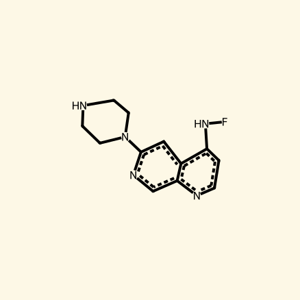 FNc1ccnc2cnc(N3CCNCC3)cc12